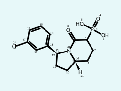 O=C1C(P(=O)(O)O)CC[C@@H]2CC[C@@H](c3cccc(Cl)c3)N12